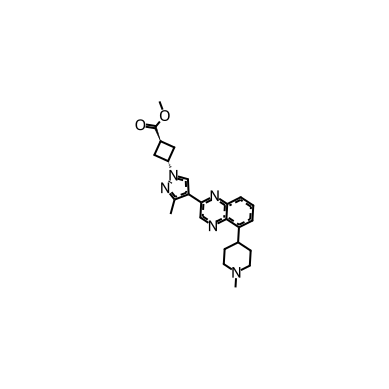 COC(=O)[C@H]1C[C@H](n2cc(-c3cnc4c(C5CCN(C)CC5)cccc4n3)c(C)n2)C1